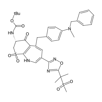 CN(Cc1ccccc1)c1ccc(CC2=CC(c3noc(C(C)(C)S(C)(=O)=O)n3)=CNC3=C2C(=O)[C@@H](NC(=O)OC(C)(C)C)CS3(=O)=O)cc1